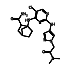 CN(C)C(=O)Cn1cc(Nc2ncc(Cl)c(NC34CCC(CC3C(N)=O)C4)n2)cn1